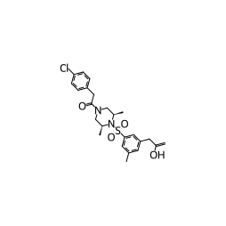 C=C(O)Cc1cc(C)cc(S(=O)(=O)N2[C@H](C)CN(C(=O)Cc3ccc(Cl)cc3)C[C@@H]2C)c1